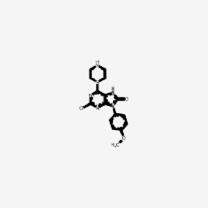 COc1ccc(-n2c(=O)[nH]c3c(N4CCNCC4)nc(Cl)nc32)cc1